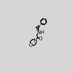 O=C(CN[C@H]1C[C@@H]1c1ccccc1)N1CCOCC1